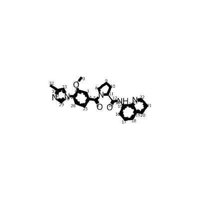 COc1cc(C(=O)N2CCC[C@H]2C(=O)Nc2cccc3cccnc23)ccc1-n1cnc(C)c1